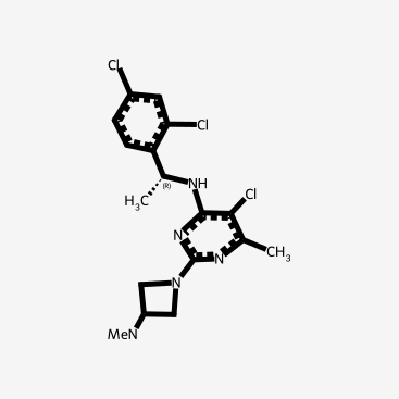 CNC1CN(c2nc(C)c(Cl)c(N[C@H](C)c3ccc(Cl)cc3Cl)n2)C1